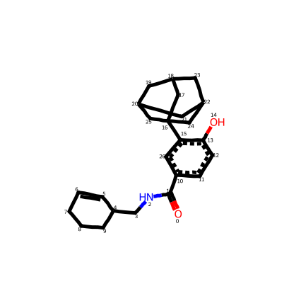 O=C(NCC1C=CCCC1)c1ccc(O)c(C23CC4CC(CC(C4)C2)C3)c1